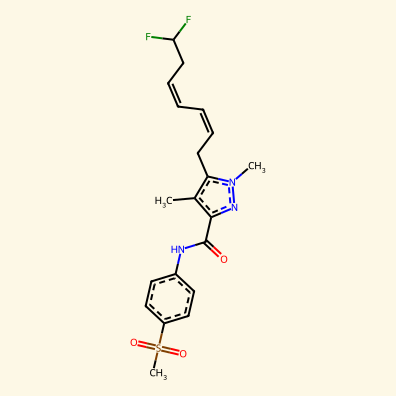 Cc1c(C(=O)Nc2ccc(S(C)(=O)=O)cc2)nn(C)c1C/C=C\C=C/CC(F)F